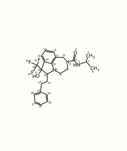 CC(C)NC(=O)N1CCN2c3c(cccc3C(O)(C(F)(F)F)C2CCc2ccccc2)C1